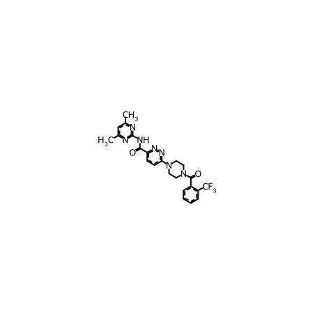 Cc1cc(C)nc(NC(=O)c2ccc(N3CCN(C(=O)c4ccccc4C(F)(F)F)CC3)nn2)n1